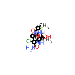 Cc1ccc2c(=O)n(-c3cccc(-c4c(Cl)cc(C(N)=O)c5[nH]c6cc(C(C)(C)O)ccc6c45)c3C)c(=O)[nH]c2c1F